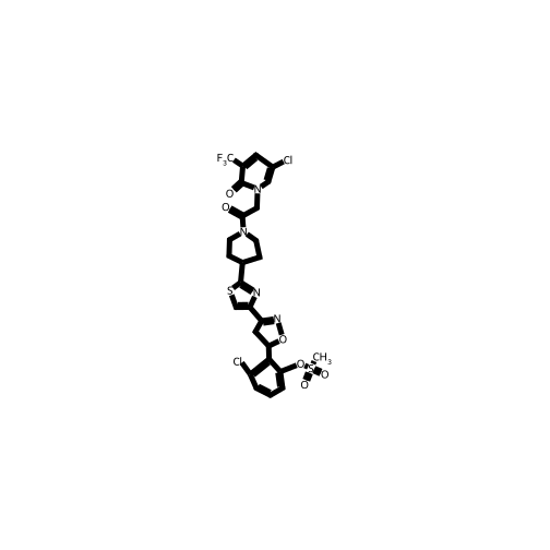 CS(=O)(=O)Oc1cccc(Cl)c1C1CC(c2csc(C3CCN(C(=O)Cn4cc(Cl)cc(C(F)(F)F)c4=O)CC3)n2)=NO1